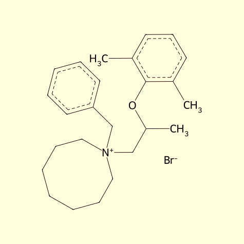 Cc1cccc(C)c1OC(C)C[N+]1(Cc2ccccc2)CCCCCCC1.[Br-]